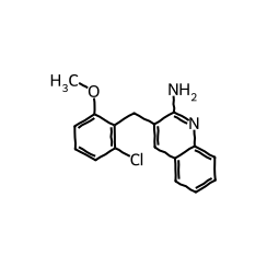 COc1cccc(Cl)c1Cc1cc2ccccc2nc1N